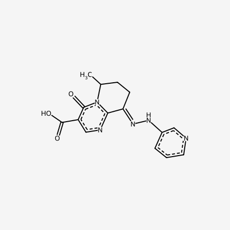 CC1CCC(=NNc2cccnc2)c2ncc(C(=O)O)c(=O)n21